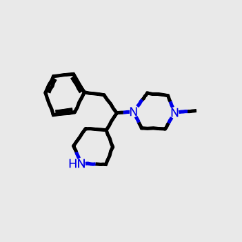 CN1CCN(C(Cc2ccccc2)C2CCNCC2)CC1